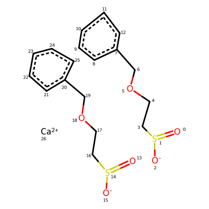 O=S([O-])CCOCc1ccccc1.O=S([O-])CCOCc1ccccc1.[Ca+2]